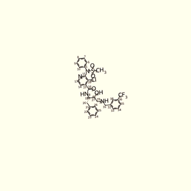 CS(=O)(=O)N(c1ccccc1)c1nccc(C(=O)N[C@@H](Cc2ccccc2)[C@H](O)CNCc2cccc(C(F)(F)F)c2)c1Cl